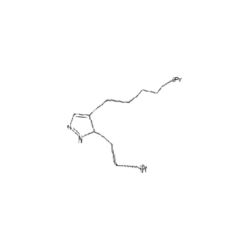 CC(C)CCCCC1=CN=NC1CCC(C)C